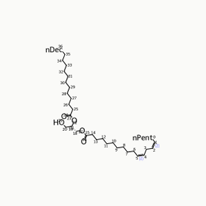 CCCCC/C=C\C/C=C\CCCCCCCCCC(=O)OC[C@H](CO)OC(=O)CCCCCCCCCCCCCCCCCCCCC